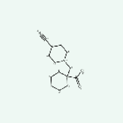 N#CC1CCN(CC2(C(=O)O)CCCCC2)CC1